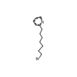 BrCCCCCCCc1ccccn1